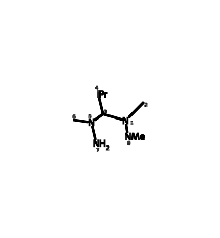 CNN(C)C(C(C)C)N(C)N